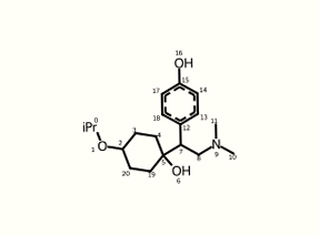 CC(C)OC1CCC(O)(C(CN(C)C)c2ccc(O)cc2)CC1